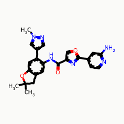 Cn1cc(-c2cc3c(cc2NC(=O)c2coc(-c4ccnc(N)c4)n2)CC(C)(C)O3)cn1